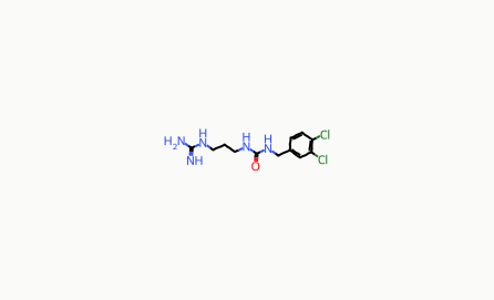 N=C(N)NCCCNC(=O)NCc1ccc(Cl)c(Cl)c1